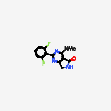 CNc1nc(-c2c(F)cccc2F)nc2c1C(=O)NC2